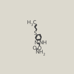 CC=CCSc1ccc2[nH]c(OC(N)=O)nc2c1